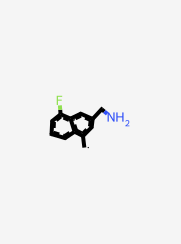 [CH2]c1cc(CN)cc2c(F)cccc12